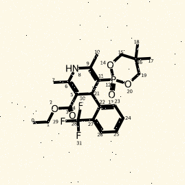 CCOC(=O)C1=C(C)NC(C)=C(P2(=O)OCC(C)(C)CO2)C1c1ccccc1C(F)(F)F